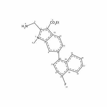 CCOC(=O)c1c(CN)n(C)c2cc(-c3ccc(F)c4ccccc34)ccc12